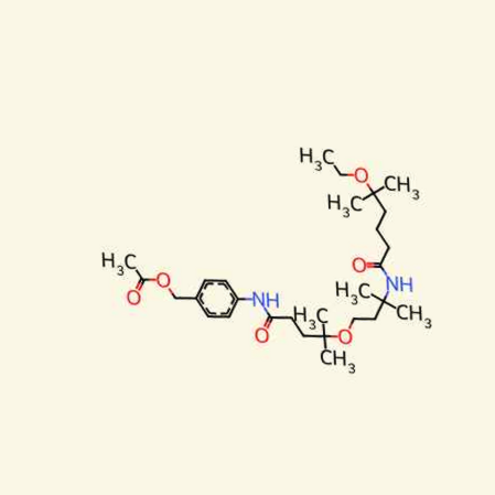 CCOC(C)(C)CCCC(=O)NC(C)(C)CCOC(C)(C)CCC(=O)Nc1ccc(COC(C)=O)cc1